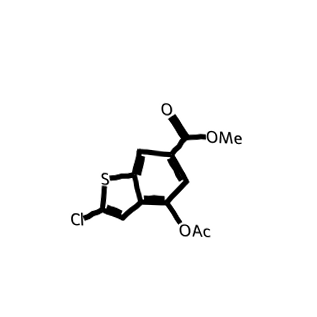 COC(=O)c1cc(OC(C)=O)c2cc(Cl)sc2c1